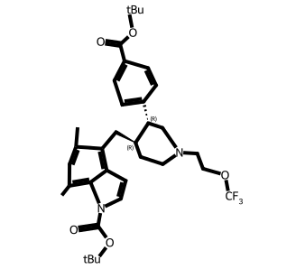 Cc1cc(C)c2c(ccn2C(=O)OC(C)(C)C)c1C[C@@H]1CCN(CCOC(F)(F)F)C[C@H]1c1ccc(C(=O)OC(C)(C)C)cc1